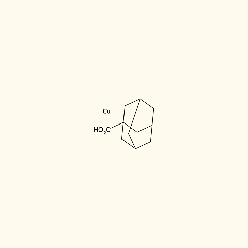 O=C(O)C12CC3CC(CC(C3)C1)C2.[Cu]